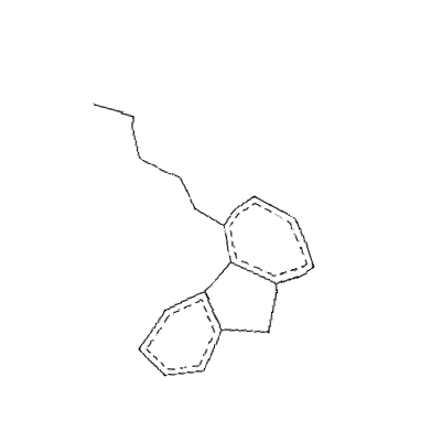 CCCCCc1cccc2c1-c1ccccc1C2